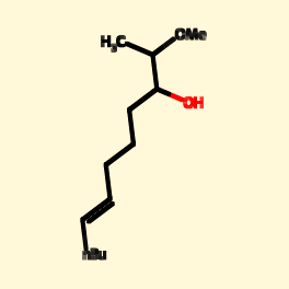 [CH2]CCC/C=C/CCCC(O)C(C)OC